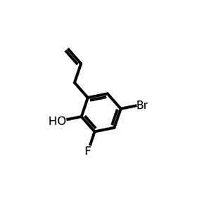 C=CCc1cc(Br)cc(F)c1O